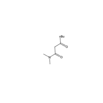 CCCCC(=O)CC(=O)N(C)C